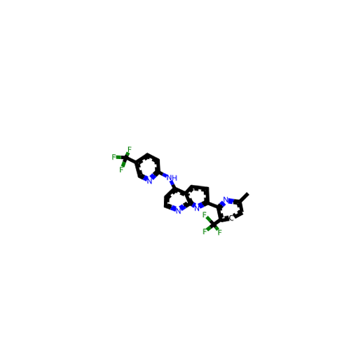 Cc1ccc(C(F)(F)F)c(-c2ccc3c(Nc4ccc(C(F)(F)F)cn4)ccnc3n2)n1